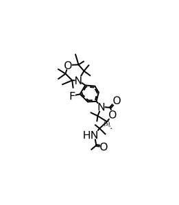 CC(=O)NC(C)(C)[C@]1(C)OC(=O)N(c2ccc(N3C(C)(C)C(C)(C)OC(C)(C)C3(C)C)c(F)c2)C1(C)C